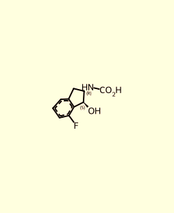 O=C(O)N[C@@H]1Cc2cccc(F)c2[C@@H]1O